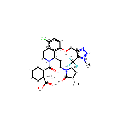 C[C@H]1CCN(CC[C@@H]2c3c(OCc4nnn(C)c4C(F)(F)F)ccc(Cl)c3CCN2C(=O)[C@@H]2CCCC[C@]2(C)C(=O)O)C1=O